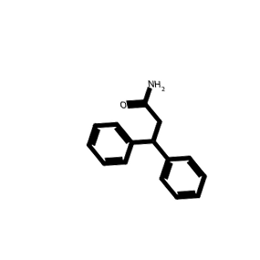 NC(=O)CC(c1ccccc1)c1ccccc1